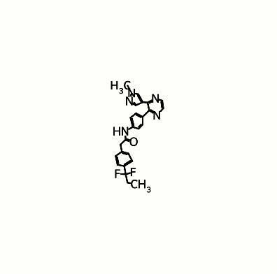 CCC(F)(F)c1ccc(CC(=O)Nc2ccc(-c3nccnc3-c3cnn(C)c3)cc2)cc1